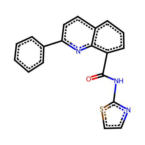 O=C(Nc1nccs1)c1cccc2ccc(-c3ccccc3)nc12